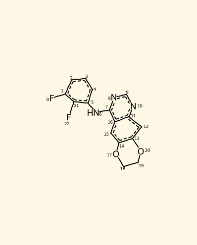 Fc1cccc(Nc2ncnc3cc4c(cc23)OCCO4)c1F